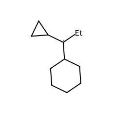 CC[C](C1CCCCC1)C1CC1